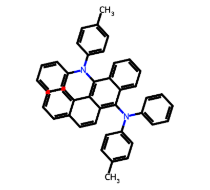 Cc1ccc(N(c2ccccc2)c2c3ccccc3c(N(c3ccccc3)c3ccc(C)cc3)c3c2ccc2ccccc23)cc1